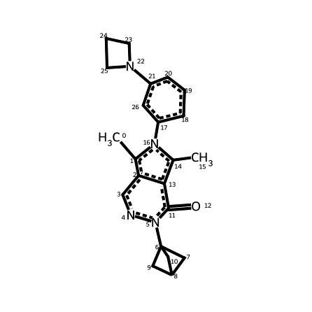 Cc1c2cnn(C34CC(C3)C4)c(=O)c2c(C)n1-c1cccc(N2CCC2)c1